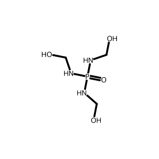 O=P(NCO)(NCO)NCO